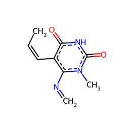 C=Nc1c(/C=C\C)c(=O)[nH]c(=O)n1C